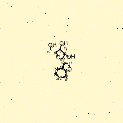 Cc1ncnc2c([C@@H]3O[C@H](CO)[C@@H](O)[C@@]3(C)O)coc12